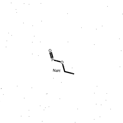 CCOP=O.[NaH]